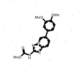 COC(=O)Nc1nc2ccc(-c3ccc(OC)c(OC)c3)cn2n1